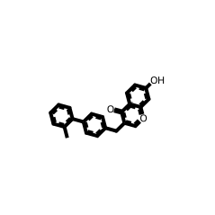 Cc1ccccc1-c1ccc(Cc2coc3cc(O)ccc3c2=O)cc1